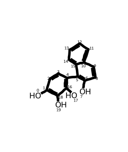 Oc1ccc(-c2c(O)ccc3ccccc23)c(O)c1O